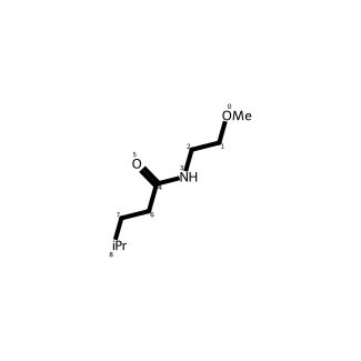 COCCNC(=O)CCC(C)C